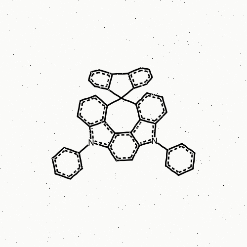 c1ccc(-n2c3cccc4c3c3c5c6c(cccc6n(-c6ccccc6)c5ccc32)C42c3ccccc3-c3ccccc32)cc1